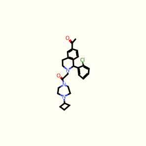 CC(=O)c1ccc2c(c1)CCN(CC(=O)N1CCN(C3CCC3)CC1)C2c1ccccc1Cl